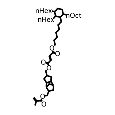 C=C(C)C(=O)OCC1CC2CC1C1CC(COC(=O)/C=C/C(=O)OCCCCCCCC3C(CCCCCCCC)CCC(CCCCCC)C3CCCCCC)CC21